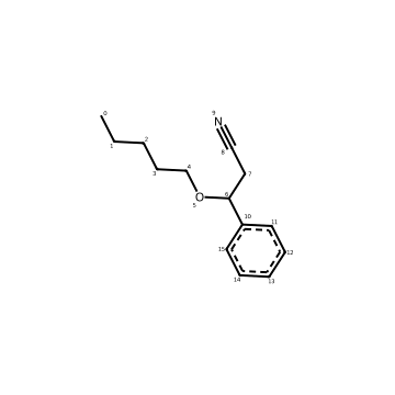 CCCCCOC(CC#N)c1ccccc1